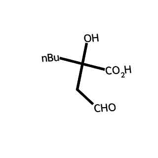 CCCCC(O)(CC=O)C(=O)O